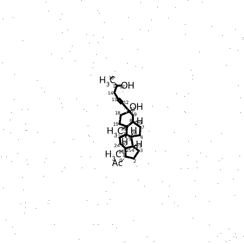 CC(=O)[C@H]1CC[C@H]2[C@@H]3CC[C@@H]4C[C@@](O)(C#CC[C@@H](C)O)CC[C@]4(C)[C@H]3CC[C@]12C